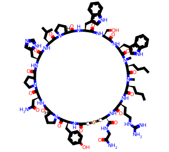 CCCC[C@H]1C(=O)N(C)[C@@H](CCCC)C(=O)N[C@@H](CCCNC(=N)N)C(=O)N[C@H](C(=O)NCC(N)=O)CSCC(=O)N[C@@H](Cc2ccc(O)cc2)C(=O)N2CCC[C@@H]2C(=O)N[C@@H](CC(N)=O)C(=O)N2CCCC2C(=O)N[C@@H](Cc2cnc[nH]2)C(=O)N[C@@H](CC(C)C)C(=O)N2CCC[C@H]2C(=O)N[C@@H](Cc2c[nH]c3ccccc23)C(=O)N[C@@H](CO)C(=O)N[C@@H](Cc2c[nH]c3ccccc23)C(=O)N1C